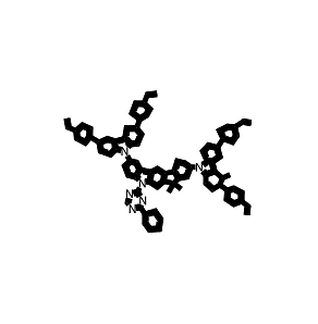 C=Cc1ccc(-c2ccc3c(c2)c2c(n3-c3ccc4c(c3)C(C)(C)c3cc5c(cc3-4)c3cc(-n4c6ccc(-c7ccc(C=C)cc7)cc6c6cc(-c7ccc(C=C)cc7)ccc64)ccc3n5-c3ncnc(-c4ccccc4)n3)C=CC(c3ccc(C=C)cc3)C2C)cc1